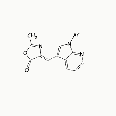 CC(=O)n1cc(/C=C2\N=C(C)OC2=O)c2cccnc21